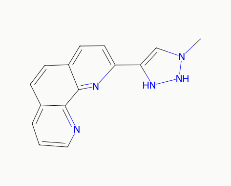 CN1C=C(c2ccc3ccc4cccnc4c3n2)NN1